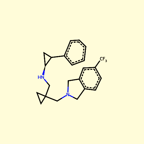 FC(F)(F)c1ccc2c(c1)CN(CC1(CN[C@H]3CC3c3ccccc3)CC1)C2